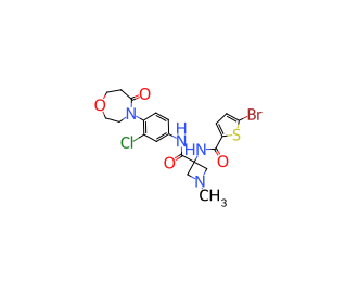 CN1CC(NC(=O)c2ccc(Br)s2)(C(=O)Nc2ccc(N3CCOCCC3=O)c(Cl)c2)C1